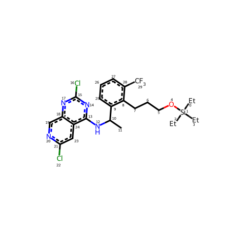 CC[Si](CC)(CC)OCCCc1c(C(C)Nc2nc(Cl)nc3cnc(Cl)cc23)cccc1C(F)(F)F